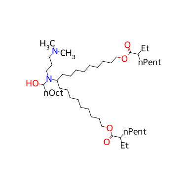 CCCCCCCCC(O)N(CCCN(C)C)C(CCCCCCCCCOC(=O)C(CC)CCCCC)CCCCCCCCCOC(=O)C(CC)CCCCC